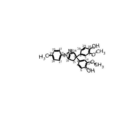 COc1cc(C2(c3ccc(O)c(OC)c3)Cc3cc2nn3-c2ccc(C)cc2)ccc1O